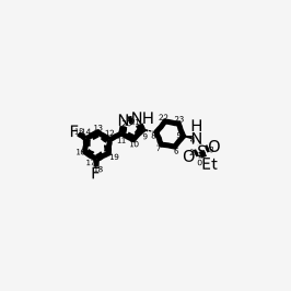 CCS(=O)(=O)N[C@H]1CC[C@H](c2cc(-c3cc(F)cc(F)c3)n[nH]2)CC1